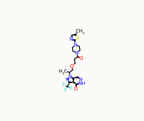 Cc1cnc(N2CCN(C(=O)CCOCC(C)n3nc(C(F)(F)F)c4c(=O)[nH]ncc43)CC2)s1